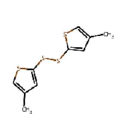 Cc1csc(SSc2cc(C)cs2)c1